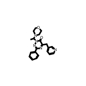 CC(N1CCOCC1)n1nc(-c2ccccc2)nc(Cc2cccnc2)c1=O